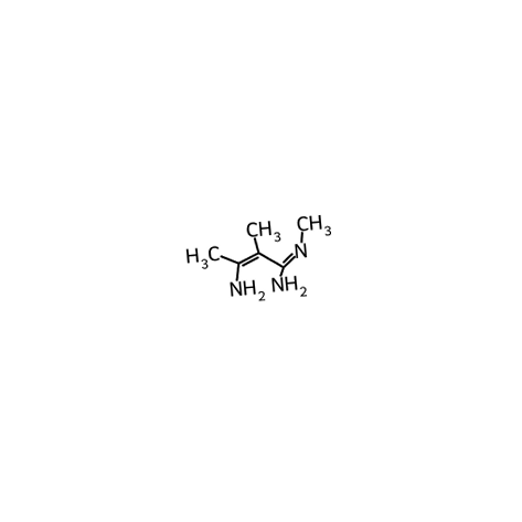 C/N=C(N)\C(C)=C(\C)N